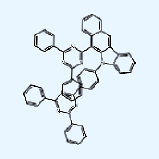 c1ccc(-c2nc(-c3ccccc3)nc(-c3ccc(-n4c5ccccc5c5cc6ccccc6c(-c6nc(-c7ccccc7)nc(-c7ccccc7)n6)c54)cc3)n2)cc1